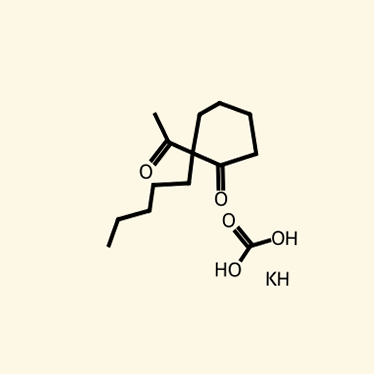 CCCCCC1(C(C)=O)CCCCC1=O.O=C(O)O.[KH]